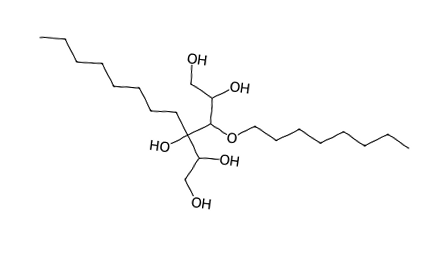 CCCCCCCCOC(C(O)CO)C(O)(CCCCCCCC)C(O)CO